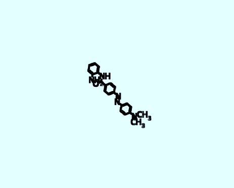 CN(C)c1ccc(N=Nc2ccc(C(=O)Nc3ccccc3N)cc2)cc1